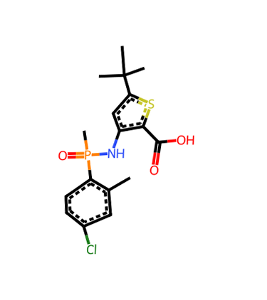 Cc1cc(Cl)ccc1P(C)(=O)Nc1cc(C(C)(C)C)sc1C(=O)O